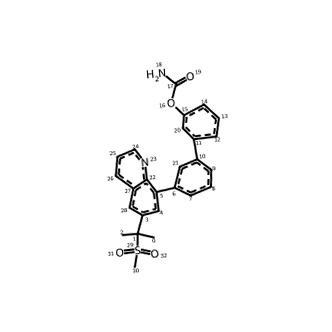 CC(C)(c1cc(-c2cccc(-c3cccc(OC(N)=O)c3)c2)c2ncccc2c1)S(C)(=O)=O